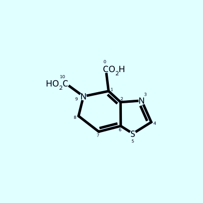 O=C(O)C1=c2ncsc2=CCN1C(=O)O